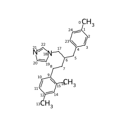 Cc1ccc(CC(CCc2ccc(C)cc2C)Cn2ccnc2)cc1